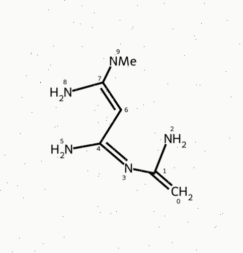 C=C(N)/N=C(N)\C=C(/N)NC